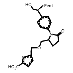 CCCCC[C@H](CO)c1ccc(N2C(=O)CCC2COCc2ccc(C(=O)O)s2)cc1